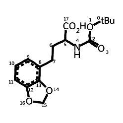 CC(C)(C)OC(=O)NC(CCc1cccc2c1OCO2)C(=O)O